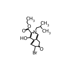 CCOC(=O)C1=C(O)C2=CC(Br)C(=O)CC2=CN1CC(C)C